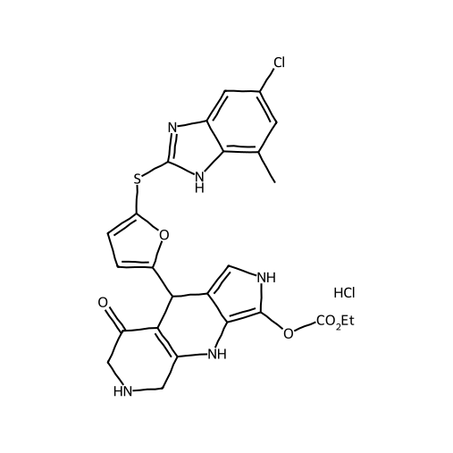 CCOC(=O)Oc1[nH]cc2c1NC1=C(C(=O)CNC1)C2c1ccc(Sc2nc3cc(Cl)cc(C)c3[nH]2)o1.Cl